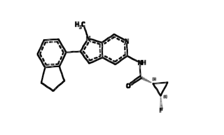 Cn1c(-c2cccc3c2CCC3)cc2cc(NC(=O)[C@@H]3C[C@@H]3F)ncc21